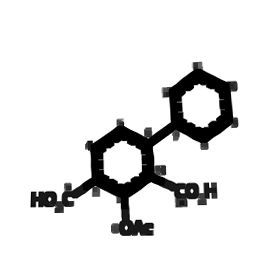 CC(=O)Oc1c(C(=O)O)ccc(-c2ccccc2)c1C(=O)O